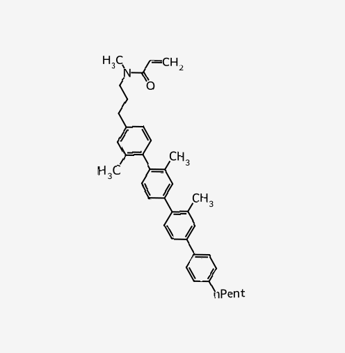 C=CC(=O)N(C)CCCc1ccc(-c2ccc(-c3ccc(-c4ccc(CCCCC)cc4)cc3C)cc2C)c(C)c1